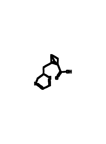 O=C(O)C12CC(C1)C2CC1CN=CC=N1